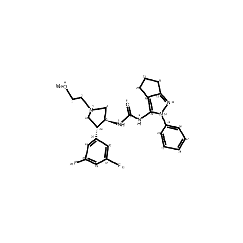 COCCN1C[C@@H](NC(=O)Nc2c3c(nn2-c2ccccc2)CCC3)[C@H](c2cc(F)cc(F)c2)C1